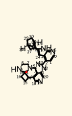 c1cc(-c2nc(N3CCNCC3)c3c(C4CCC4)cncc3n2)c2cc(C3C[C@H]4CC[C@@H]3C4)[nH]c2n1